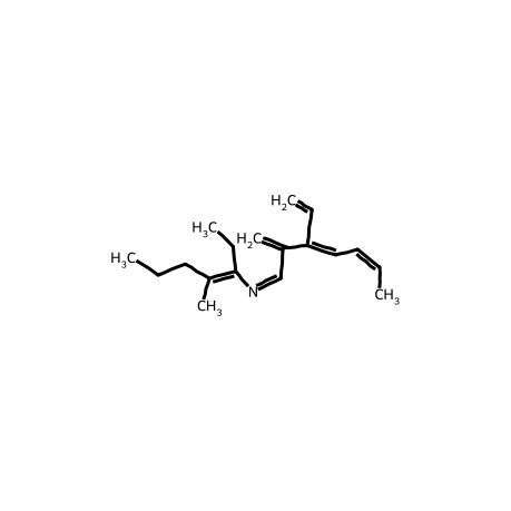 C=C/C(=C\C=C/C)C(=C)/C=N\C(CC)=C(/C)CCC